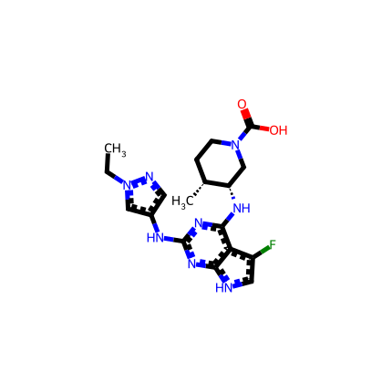 CCn1cc(Nc2nc(N[C@H]3CN(C(=O)O)CC[C@H]3C)c3c(F)c[nH]c3n2)cn1